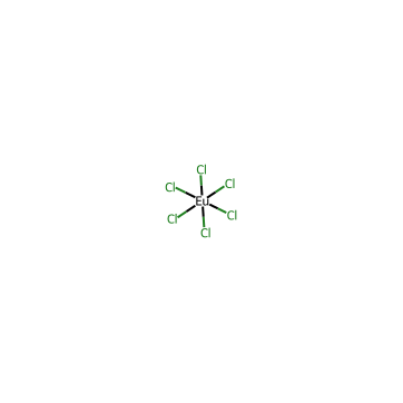 [Cl][Eu]([Cl])([Cl])([Cl])([Cl])[Cl]